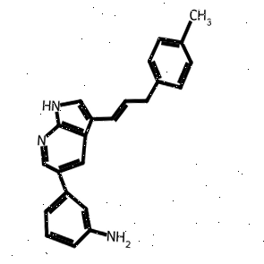 Cc1ccc(C/C=C/c2c[nH]c3ncc(-c4cccc(N)c4)cc23)cc1